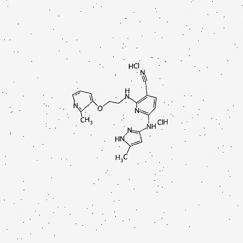 Cc1cc(Nc2ccc(C#N)c(NCCOc3cccnc3C)n2)n[nH]1.Cl.Cl